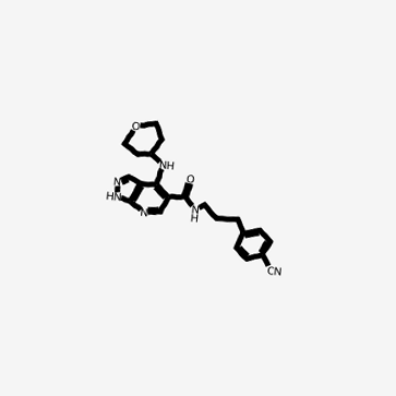 N#Cc1ccc(CCCNC(=O)c2cnc3[nH]ncc3c2NC2CCOCC2)cc1